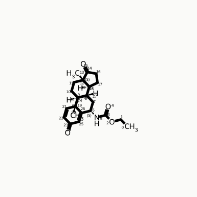 CCOC(=O)N[C@H]1C[C@@H]2[C@H](CC[C@]3(C)C(=O)CC[C@@H]23)[C@@]2(C)C=CC(=O)C=C12